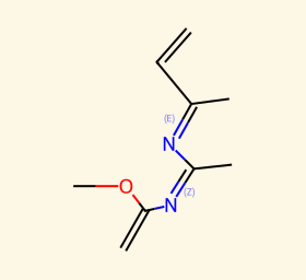 C=C/C(C)=N/C(C)=N\C(=C)OC